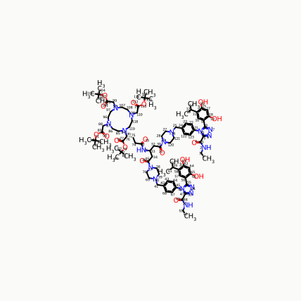 CCNC(=O)c1nnc(-c2cc(C(C)C)c(O)cc2O)n1-c1ccc(CN2CCN(C(=O)CC(CC(=O)N3CCN(Cc4ccc(-n5c(C(=O)NCC)nnc5-c5cc(C(C)C)c(O)cc5O)cc4)CC3)NC(=O)CC[C@H](C(=O)OC(C)(C)C)N3CCN(CC(=O)OC(C)(C)C)CCN(CC(=O)OC(C)(C)C)CCN(CC(=O)OC(C)(C)C)CC3)CC2)cc1